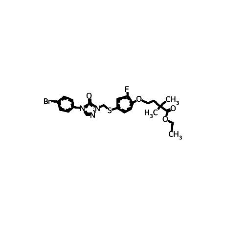 CCOC(=O)C(C)(C)CCOc1ccc(SCn2ncn(-c3ccc(Br)cc3)c2=O)cc1F